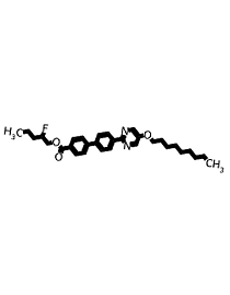 CCCCCCCCCOc1cnc(-c2ccc(-c3ccc(C(=O)OCC(F)CCC)cc3)cc2)nc1